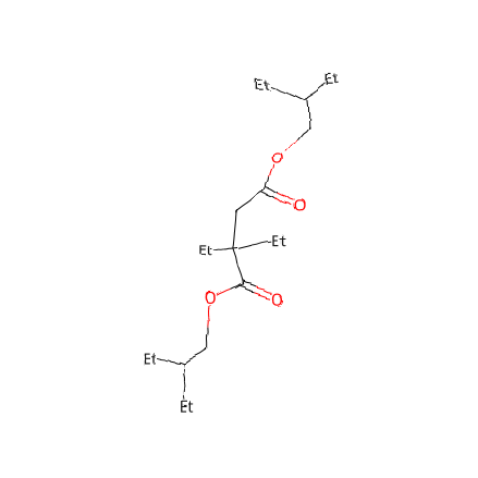 CCC(CC)COC(=O)CC(CC)(CC)C(=O)OCC(CC)CC